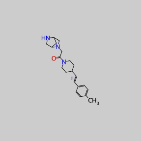 Cc1ccc(/C=C/C2CCN(C(=O)CN3CC4CC3CN4)CC2)cc1